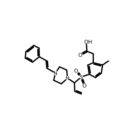 C=CC(N1CCN(C=Cc2ccccc2)CC1)S(=O)(=O)c1ccc(C)c(CC(=O)O)c1